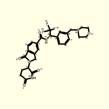 O=C1CCC(N2Cc3cc(C(=O)N[C@H](c4cccc(CN5CCOCC5)c4)C(F)(F)F)ccc3C2=O)C(=O)N1